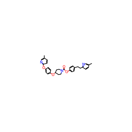 Cc1ccc(CCc2ccc(OC(=O)N3CCC(Oc4ccc(Oc5ccc(C)cn5)cc4)CC3)cc2)nc1